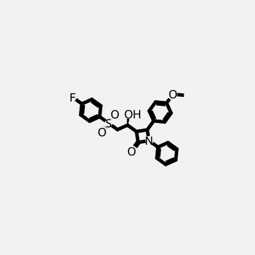 COc1ccc(C2C([C@H](O)CS(=O)(=O)c3ccc(F)cc3)C(=O)N2c2ccccc2)cc1